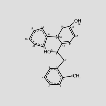 Cc1ccccc1CC(O)C1=CC=C(O)CN1c1ccccc1